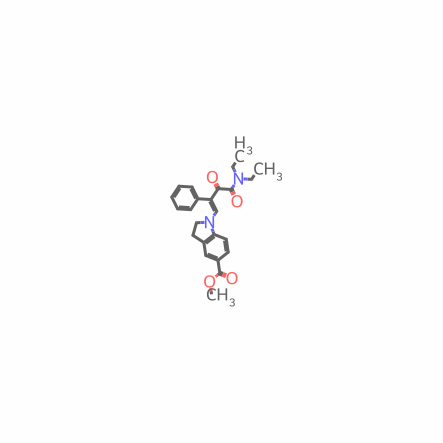 CCN(CC)C(=O)C(=O)/C(=C/N1CCc2cc(C(=O)OC)ccc21)c1ccccc1